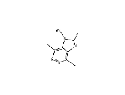 Cc1nnc(C)c2c1nc(C)n2C(C)C